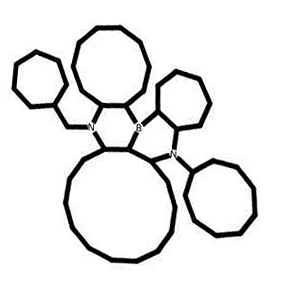 C1CCCCCC2C3B(C4CCCCCCCCC4N2CC2CCCCCC2)C2CCCCCC2N(C2CCCCCCCC2)C3CCCCC1